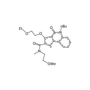 CCCCn1c(=O)c2c(OCCOCC)c(C(=O)N(C)CCOC)sc2c2ccccc21